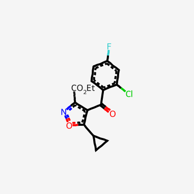 CCOC(=O)c1noc(C2CC2)c1C(=O)c1ccc(F)cc1Cl